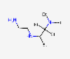 CCC(NCCN)C(CC)(CC)N(CC)CC